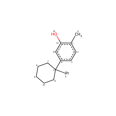 Cc1ccc(C2(C(C)C)CCCCC2)cc1O